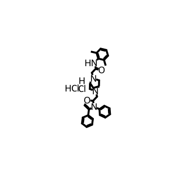 Cc1cccc(C)c1NC(=O)CN1CC2CC1CN2CC1OC=C(c2ccccc2)N1c1ccccc1.Cl.Cl